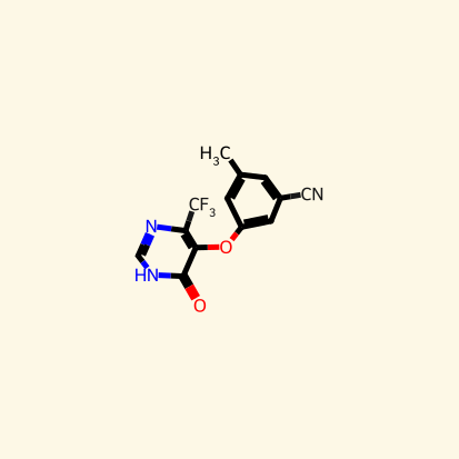 Cc1cc(C#N)cc(Oc2c(C(F)(F)F)nc[nH]c2=O)c1